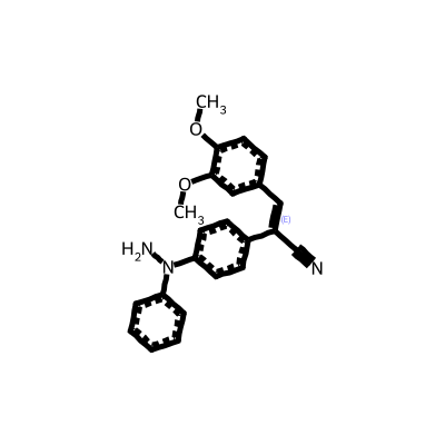 COc1ccc(/C=C(/C#N)c2ccc(N(N)c3ccccc3)cc2)cc1OC